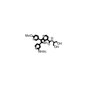 COc1ccc(-c2c(-c3ccnc(NC(C)=O)c3)[nH]c3c(C(=O)NC(CO)CO)ccnc23)cn1